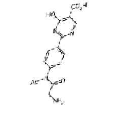 CC(=O)N(C(=O)CN)c1ccc(-c2ncc(C(=O)O)c(O)n2)cc1